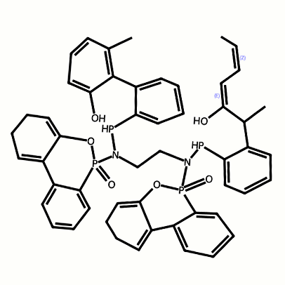 C/C=C\C=C(\O)C(C)c1ccccc1PN(CCN(Pc1ccccc1-c1c(C)cccc1O)P1(=O)OC2=CCCC=C2c2ccccc21)P1(=O)OC2=CCCC=C2c2ccccc21